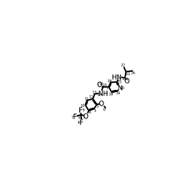 COc1cc(OC(F)(F)F)ccc1CNC(=O)c1ccnc(NC(=O)C(C)C)c1